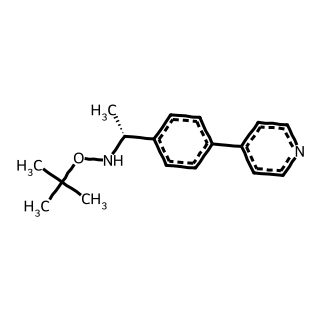 C[C@@H](NOC(C)(C)C)c1ccc(-c2ccncc2)cc1